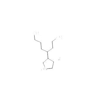 CCCCC(CCC)C1CNC[C@H]1F